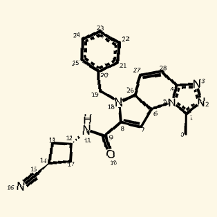 Cc1nnc2n1C1C=C(C(=O)N[C@H]3C[C@H](C#N)C3)N(Cc3ccccc3)C1C=C2